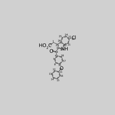 O=C(O)Cc1c(C(=O)c2ccc(Oc3ccccc3)cc2)[nH]c2cc(Cl)ccc12